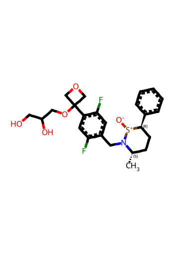 C[C@H]1CC[C@H](c2ccccc2)[S+]([O-])N1Cc1cc(F)c(C2(OCC(O)CO)COC2)cc1F